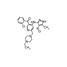 CCN1CCN(Cc2cc(Nc3n[nH]c(C)c3N=O)c(C(=O)c3ccccc3Cl)cn2)CC1